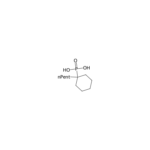 CCCCCC1(P(=O)(O)O)CCCCC1